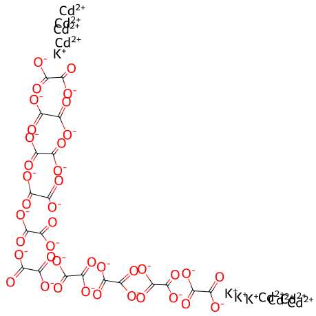 O=C([O-])C(=O)[O-].O=C([O-])C(=O)[O-].O=C([O-])C(=O)[O-].O=C([O-])C(=O)[O-].O=C([O-])C(=O)[O-].O=C([O-])C(=O)[O-].O=C([O-])C(=O)[O-].O=C([O-])C(=O)[O-].O=C([O-])C(=O)[O-].O=C([O-])C(=O)[O-].[Cd+2].[Cd+2].[Cd+2].[Cd+2].[Cd+2].[Cd+2].[Cd+2].[Cd+2].[K+].[K+].[K+].[K+]